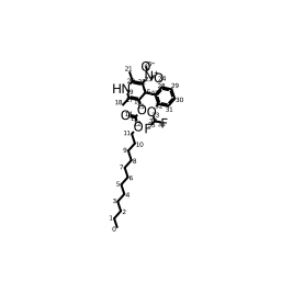 CCCCCCCCCCCCOC(=O)OC1=C(C)NC(C)=C([N+](=O)[O-])C1c1ccccc1OC(F)F